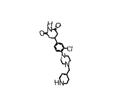 O=C1CC(c2ccc(N3CCN(CC4CCNCC4)CC3)c(Cl)c2)CC(=O)N1